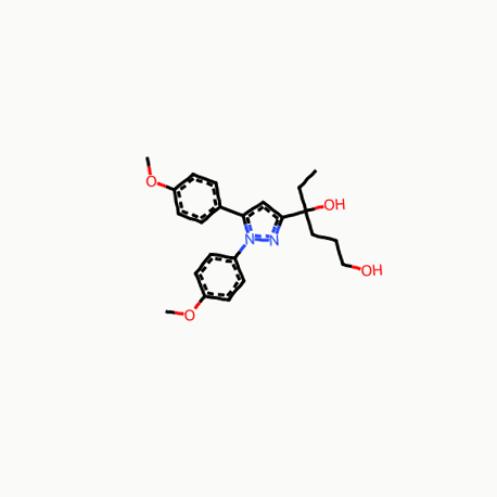 CCC(O)(CCCO)c1cc(-c2ccc(OC)cc2)n(-c2ccc(OC)cc2)n1